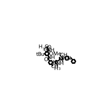 COc1c(NC(=O)c2ccc(C)c(N3C=C(C4CN(C)C(N5CCN(Cc6ccccc6)CC5)=N4)NN3)c2)cc(C(C)(C)C)cc1NS(C)(=O)=O